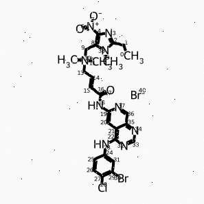 CCc1nc([N+](=O)[O-])c(C[N+](C)(C)C/C=C/C(=O)Nc2cc3c(Nc4ccc(Cl)c(Br)c4)ncnc3cn2)n1C.[Br-]